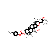 CC(=O)OC(C1C[C@@H](C)C2C(O1)[C@H](O)[C@@]1(C)C3CC[C@H]4C(C)(C)C(OC(=O)Oc5ccc([N+](=O)[O-])cc5)CCC45CC35CCC21C)C(C)(C)O